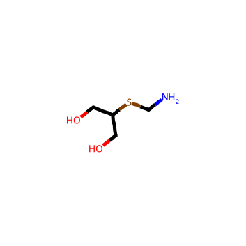 NCSC(CO)CO